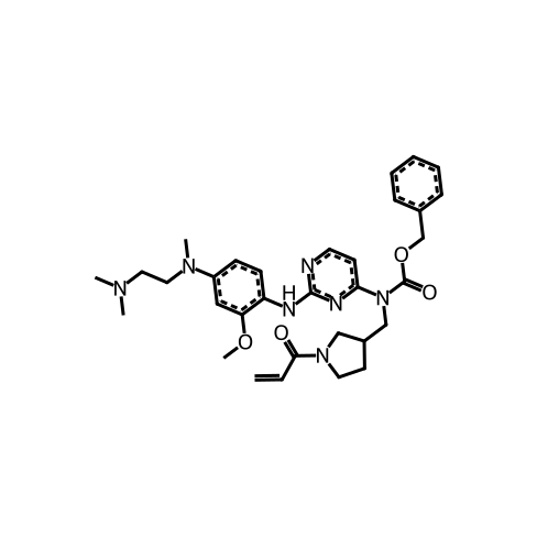 C=CC(=O)N1CCC(CN(C(=O)OCc2ccccc2)c2ccnc(Nc3ccc(N(C)CCN(C)C)cc3OC)n2)C1